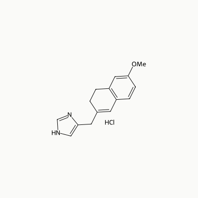 COc1ccc2c(c1)CCC(Cc1c[nH]cn1)=C2.Cl